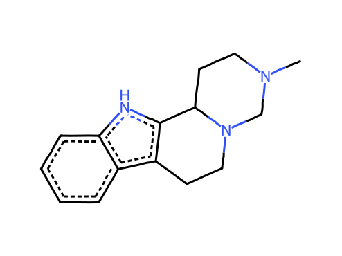 CN1CCC2c3[nH]c4ccccc4c3CCN2C1